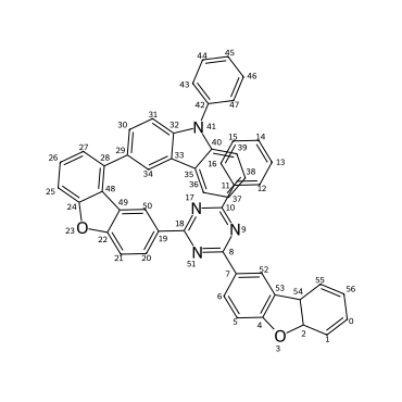 C1=CC2Oc3ccc(-c4nc(-c5ccccc5)nc(-c5ccc6oc7cccc(-c8ccc9c(c8)c8ccccc8n9-c8ccccc8)c7c6c5)n4)cc3C2C=C1